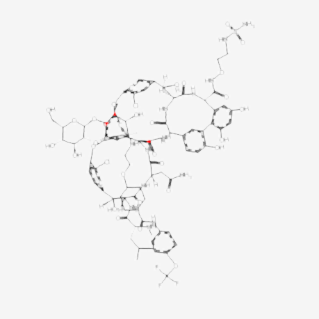 CN[C@H](CC(C)C)C(=O)N[C@H]1C(=O)N[C@@H](CC(N)=O)C(=O)N[C@H]2C(=O)N[C@H]3C(=O)N[C@H](C(=O)N[C@@H](C(=O)NOCCNS(N)(=O)=O)c4cc(O)cc(O)c4-c4cc3ccc4O)[C@H](O)c3ccc(c(Cl)c3)Oc3cc2cc(c3O[C@@H]2O[C@H](CO)[C@@H](O)[C@H](O)[C@H]2O[C@H]2C[C@](C)(NCCOC3CCN(C(=O)Nc4ccc(OC(F)(F)F)cc4)CC3)[C@H](O)[C@H](C)O2)Oc2ccc(cc2Cl)[C@H]1O